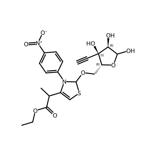 C#C[C@@]1(O)[C@@H](COC2SC=C(C(C)C(=O)OCC)N2c2ccc([N+](=O)[O-])cc2)OC(O)[C@@H]1O